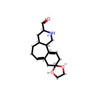 O=CC1CC2CCC=C3CC4(CC=C3C2CN1)OCCO4